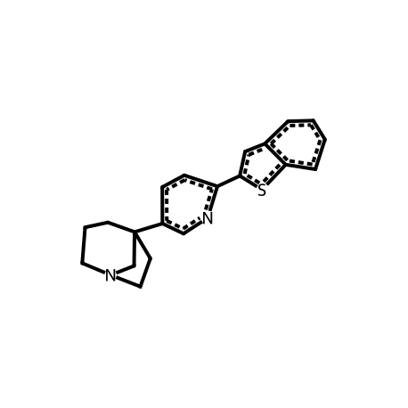 c1ccc2sc(-c3ccc(C45CCCN(CC4)C5)cn3)cc2c1